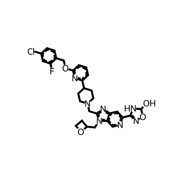 OC1NC(c2cc3nc(CN4CCC(c5cccc(OCc6ccc(Cl)cc6F)n5)CC4)n(CC4CCO4)c3cn2)=NO1